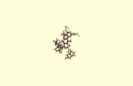 Cc1nc(N)cc(-c2nc3c4c(nc(OC[C@@]56CCCN5C[C@H](F)C6)nc4c2F)N2C[C@H]4CC[C@H](N4)[C@H]2[C@H](C(F)(F)F)O3)c1C(F)(F)F